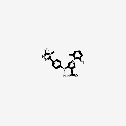 Cn1c(-c2ccc(Nc3cn(-c4c(Cl)cccc4Cl)nc3C(N)=O)cc2)nnc1C(F)(F)F